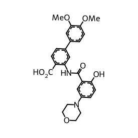 COc1ccc(-c2ccc(C(=O)O)c(NC(=O)c3cc(N4CCOCC4)ccc3O)c2)cc1OC